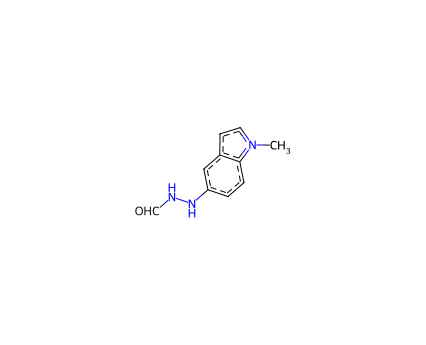 Cn1ccc2cc(NNC=O)ccc21